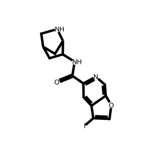 O=C(NC1CC2CNC1C2)c1cc2c(I)coc2cn1